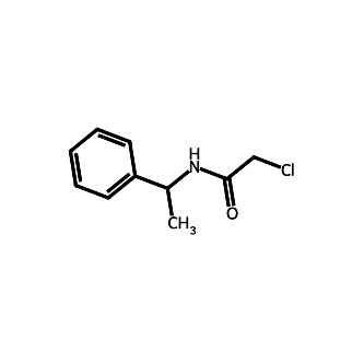 CC(NC(=O)CCl)c1ccccc1